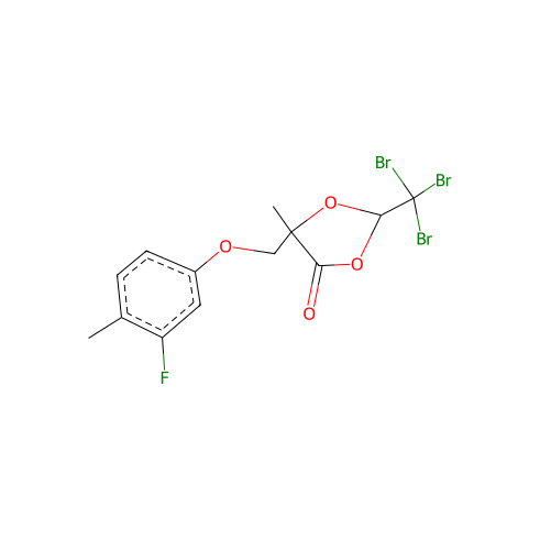 Cc1ccc(OCC2(C)OC(C(Br)(Br)Br)OC2=O)cc1F